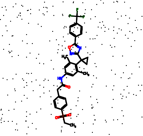 CCS(=O)(=O)c1ccc(CC(=O)Nc2cc(C)c(C3(c4noc(-c5ccc(C(F)(F)F)cc5)n4)CC3)c(C)c2)cc1